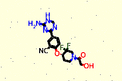 N#Cc1cc(C2=NCNC(N)=N2)ccc1O[C@H]1CCN(C(=O)CO)CC1(F)F